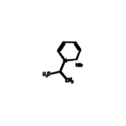 Br.CC(C)N1C=CC=CC1